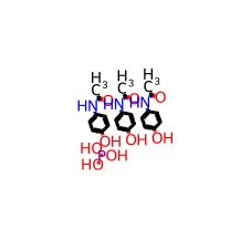 CC(=O)Nc1ccc(O)cc1.CC(=O)Nc1ccc(O)cc1.CC(=O)Nc1ccc(O)cc1.OP(O)O